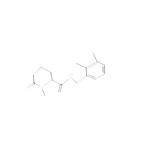 Cc1cccc(CNC(=O)C2CCCC(=O)N2C)c1Cl